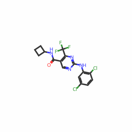 O=C(NC1CCC1)c1cnc(Nc2cc(Cl)ccc2Cl)nc1C(F)(F)F